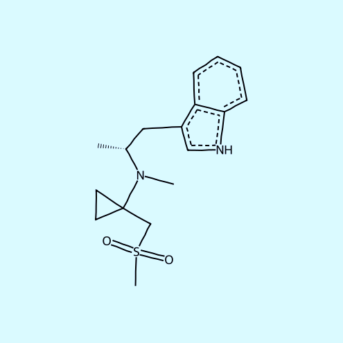 C[C@H](Cc1c[nH]c2ccccc12)N(C)C1(CS(C)(=O)=O)CC1